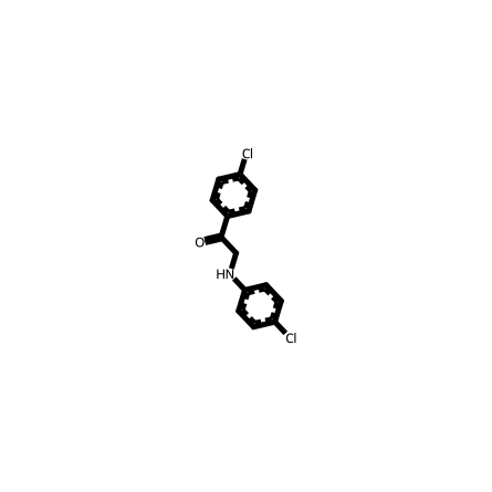 O=C(CNc1ccc(Cl)cc1)c1ccc(Cl)cc1